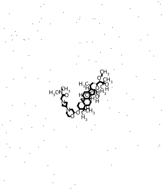 CCO[C@@H]([C@H]1C[C@@H](C)[C@H]2[C@H](O1)[C@H](O)[C@@]1(C)[C@@H]3CC[C@H]4C(C)(C)[C@@H](O[C@H]5CN(C6CN(CC(=O)N(C)C)C6)CCO5)CC[C@@]45C[C@@]35CC[C@]21C)C(C)(C)O